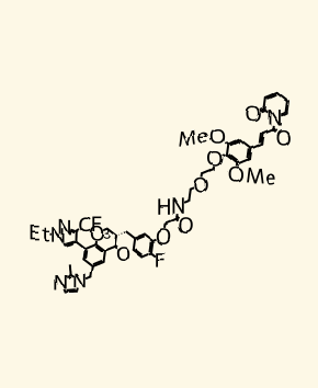 CCn1cc(-c2cc(Cn3ccnc3C)cc3c2OC[C@H](Cc2ccc(F)c(OCC(=O)NCCOCCOc4c(OC)cc(/C=C/C(=O)N5CCC=CC5=O)cc4OC)c2)C3=O)c(C(F)(F)F)n1